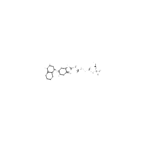 N#CC1(NC(=O)CNC(=O)Cc2nc3cc(-c4cccc5ccccc45)ccc3s2)CC1